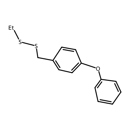 CCSSCc1ccc(Oc2ccccc2)cc1